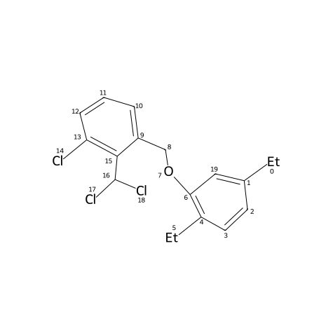 CCc1ccc(CC)c(OCc2cccc(Cl)c2C(Cl)Cl)c1